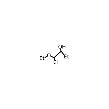 CCOC(Cl)C(O)CC